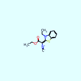 [C-]#[N+]C(C(=O)OCC)=C1Sc2ccccc2N1CC